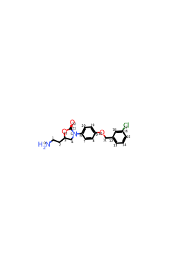 NCCC1CN(c2ccc(OCc3cccc(Cl)c3)cc2)C(=O)O1